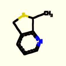 CC1SCc2cccnc21